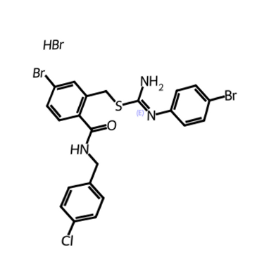 Br.N/C(=N\c1ccc(Br)cc1)SCc1cc(Br)ccc1C(=O)NCc1ccc(Cl)cc1